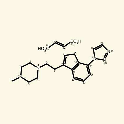 CN1CCN(CCC2=CCc3c2cccc3-n2ccnn2)CC1.O=C(O)C=CC(=O)O